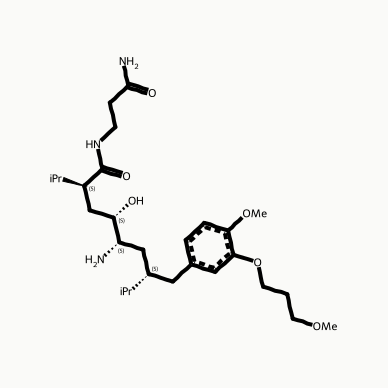 COCCCOc1cc(C[C@@H](C[C@H](N)[C@@H](O)C[C@H](C(=O)NCCC(N)=O)C(C)C)C(C)C)ccc1OC